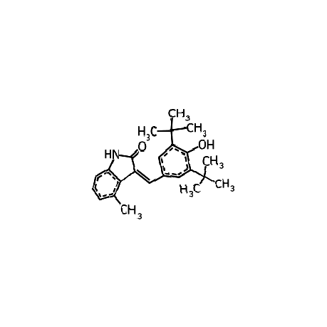 Cc1cccc2c1/C(=C/c1cc(C(C)(C)C)c(O)c(C(C)(C)C)c1)C(=O)N2